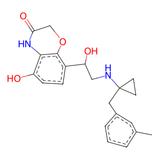 Cc1cccc(CC2(NCC(O)c3ccc(O)c4c3OCC(=O)N4)CC2)c1